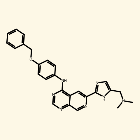 CN(C)Cc1cnc(-c2cc3c(Nc4ccc(OCc5ccccc5)cc4)ncnc3cn2)[nH]1